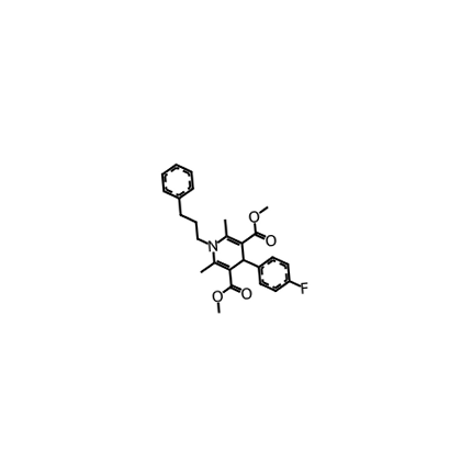 COC(=O)C1=C(C)N(CCCc2ccccc2)C(C)=C(C(=O)OC)C1c1ccc(F)cc1